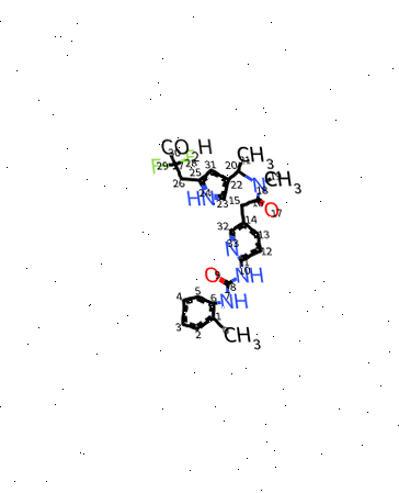 Cc1ccccc1NC(=O)Nc1ccc(CC(=O)N(C)C(C)c2c[nH]c(CC(F)(F)C(=O)O)c2)cn1